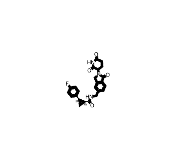 O=C1CCC(N2Cc3cc(CNC(=O)[C@@H]4C[C@H]4c4ccc(F)cc4)ccc3C2=O)C(=O)N1